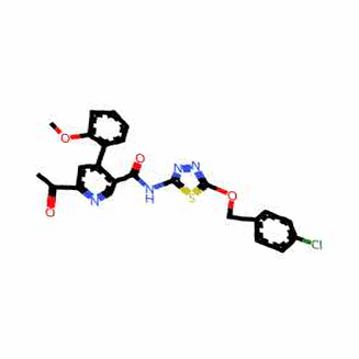 COc1ccccc1-c1cc(C(C)=O)ncc1C(=O)Nc1nnc(OCc2ccc(Cl)cc2)s1